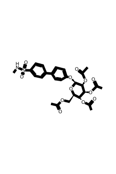 CNS(=O)(=O)c1ccc(-c2ccc(O[C@@H]3O[C@H](COC(C)=O)[C@@H](OC(C)=O)[C@H](OC(C)=O)[C@@H]3OC(C)=O)cc2)cc1